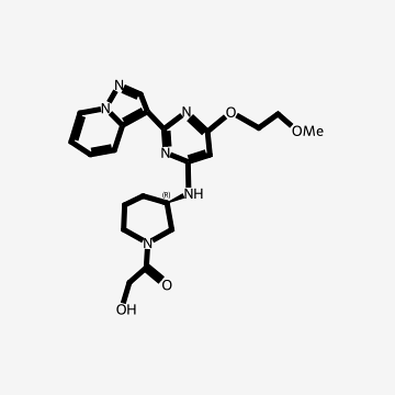 COCCOc1cc(N[C@@H]2CCCN(C(=O)CO)C2)nc(-c2cnn3ccccc23)n1